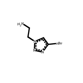 CCCCc1cn(CCN)nn1